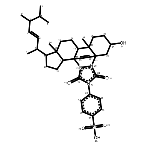 CC(C)C(C)/C=C/C(C)C1CCC2C1(C)CCC1C23C=CC2(CC(O)CCC12C)n1c(=O)n(-c2ccc(S(=O)(=O)O)cc2)c(=O)n13